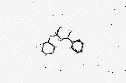 O=C(OC1CCCCC1)OC(Cl)c1ccccc1